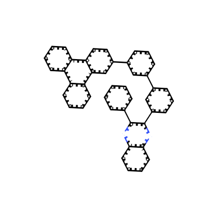 c1ccc(-c2nc3ccccc3nc2-c2cccc(-c3cccc(-c4ccc5c6ccccc6c6ccccc6c5c4)c3)c2)cc1